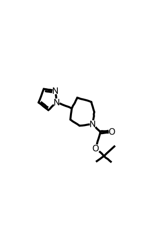 CC(C)(C)OC(=O)N1CCCC(n2cccn2)CC1